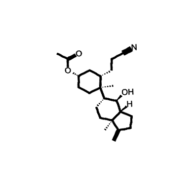 C=C1CC[C@H]2[C@H](O)[C@@H]([C@@]3(C)CC[C@H](OC(C)=O)C[C@@H]3CCC#N)CC[C@]12C